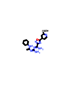 C=C(/N=C(N)\N=C(/N)c1noc(-c2ccnc(OC)c2)n1)Nc1ccccc1